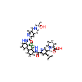 CC(O)CN1CCc2cc(C(=O)Nc3cccc(-c4cccc(NC(=O)c5cc(C6CC6)c(CN6CCCC[C@H]6C(=O)O)cn5)c4Cl)c3Cl)ncc2C1